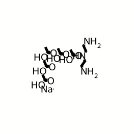 CC(=O)O.CC(=O)O.CC(=O)O.CC(=O)O.CC(=O)O.NCCNCCN.[Na]